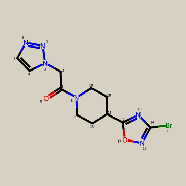 O=C(Cn1ccnn1)N1CCC(c2nc(Br)no2)CC1